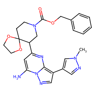 Cn1cc(-c2cnn3c(N)cc(C4CN(C(=O)OCc5ccccc5)CCC45OCCO5)nc23)cn1